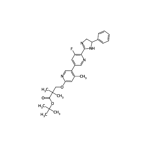 Cc1cc(OCC(C)(C)C(=O)OC(C)(C)C)ncc1-c1cnc(C2=NCC(c3ccccc3)N2)c(F)c1